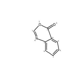 O=c1ocnc2ccccc12